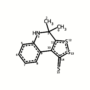 CC1(C)Nc2ccccc2-c2c1ssc2=S